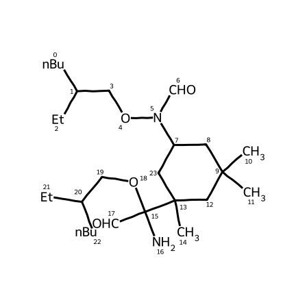 CCCCC(CC)CON(C=O)C1CC(C)(C)CC(C)(C(N)(C=O)OCC(CC)CCCC)C1